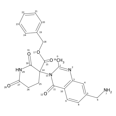 Cc1nc2cc(CN)ccc2c(=O)n1C1(C(=O)OCc2ccccc2)CCC(=O)NC1=O